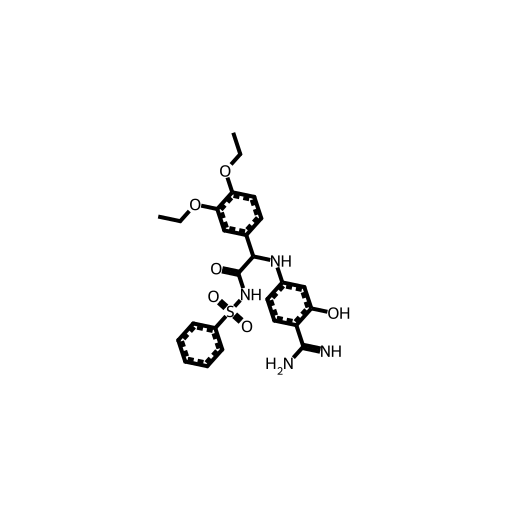 CCOc1ccc(C(Nc2ccc(C(=N)N)c(O)c2)C(=O)NS(=O)(=O)c2ccccc2)cc1OCC